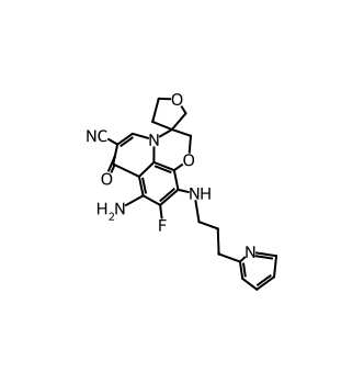 N#Cc1cn2c3c(c(NCCCc4ccccn4)c(F)c(N)c3c1=O)OCC21CCOC1